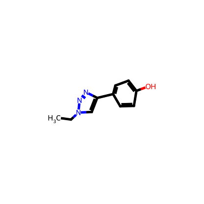 CCn1cc(-c2ccc(O)cc2)nn1